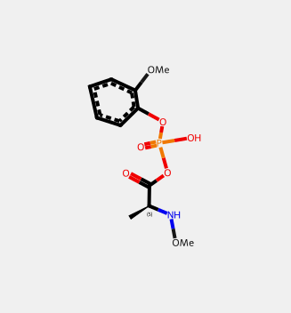 CON[C@@H](C)C(=O)OP(=O)(O)Oc1ccccc1OC